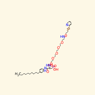 CCCCCCCCCCc1ccc(NC(=O)[C@H](CP(=O)(O)O)NOCCOCCOCCOCCOCCNOCCSSc2ccccn2)cc1